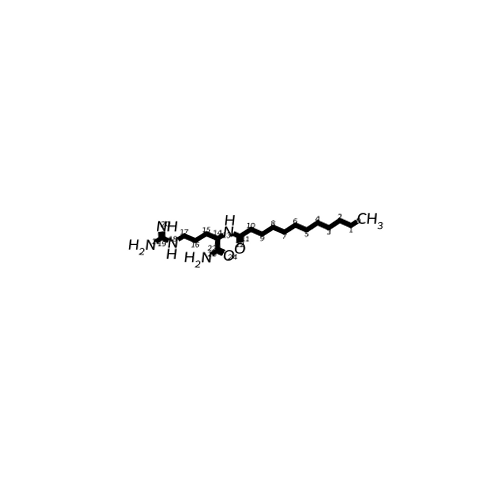 CCCCCCCCCCCC(=O)NC(CCCNC(=N)N)C(N)=O